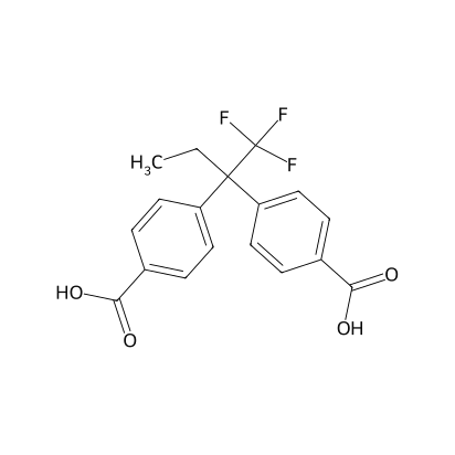 CCC(c1ccc(C(=O)O)cc1)(c1ccc(C(=O)O)cc1)C(F)(F)F